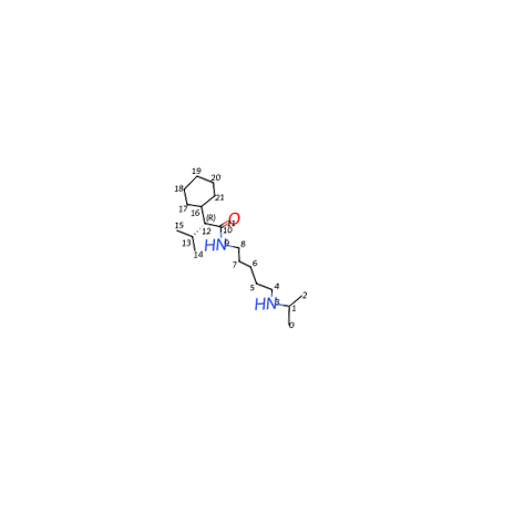 CC(C)NCCCCCNC(=O)[C@H](C(C)C)C1CCCCC1